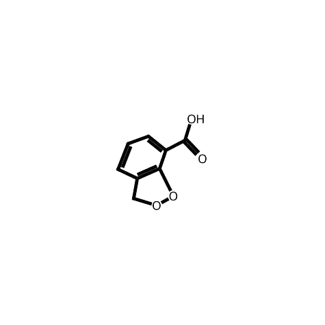 O=C(O)c1cccc2c1OOC2